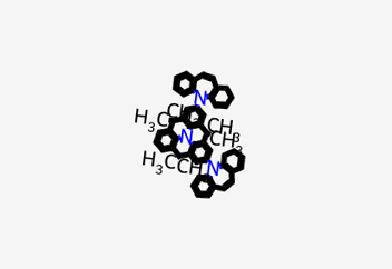 CC1(C)c2cccc3c2N2c4c1cc(N1C5=C(C=Cc6ccccc61)CCC=C5)cc4C(C)(C)c1cc(N4C5=C(C=CCC5)C=Cc5ccccc54)cc(c12)C3(C)C